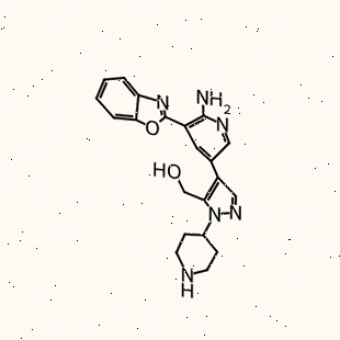 Nc1ncc(-c2cnn(C3CCNCC3)c2CO)cc1-c1nc2ccccc2o1